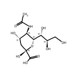 CC(=O)N[C@H]1[C@H]([C@H](O)[C@H](O)CO)O[C@](S)(C(=O)O)C[C@@H]1O